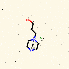 OCCC[N+]12CCN(CC1)CC2.[Br-]